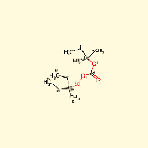 CCC(C)(C)OC(=O)OOC(C)(CC)CC